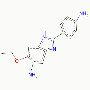 CCOc1cc2[nH]c(-c3ccc(N)cc3)nc2cc1N